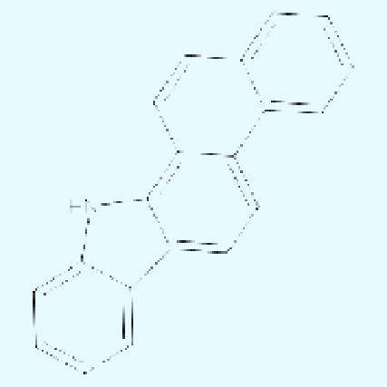 c1ccc2c(c1)ccc1c2ccc2c3ccccc3[nH]c21